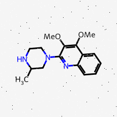 COc1c(N2CCNC(C)C2)nc2ccccc2c1OC